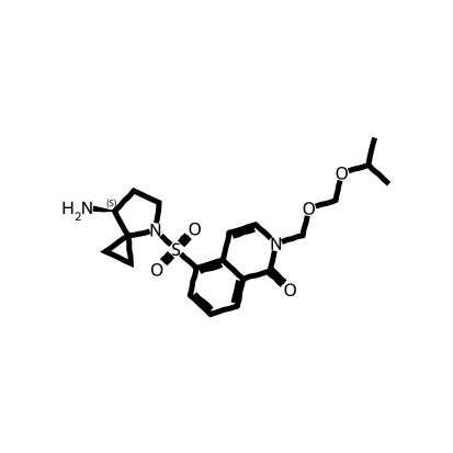 CC(C)OCOCn1ccc2c(S(=O)(=O)N3CC[C@H](N)C34CC4)cccc2c1=O